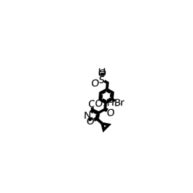 O=C(O)c1noc(C2CC2)c1C(=O)c1ccc(C[SH](=O)=O)cc1Br